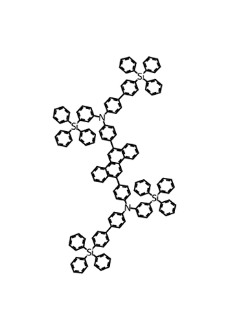 c1ccc([Si](c2ccccc2)(c2ccccc2)c2ccc(-c3ccc(N(c4ccc(-c5cc6c7ccccc7c(-c7ccc(N(c8ccc(-c9ccc([Si](c%10ccccc%10)(c%10ccccc%10)c%10ccccc%10)cc9)cc8)c8cccc([Si](c9ccccc9)(c9ccccc9)c9ccccc9)c8)cc7)cc6c6ccccc56)cc4)c4cccc([Si](c5ccccc5)(c5ccccc5)c5ccccc5)c4)cc3)cc2)cc1